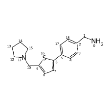 NCc1ccc(-c2ccc(CN3CCCC3)s2)cc1